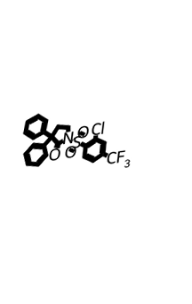 O=C1N(S(=O)(=O)c2ccc(C(F)(F)F)cc2Cl)CCC1(c1ccccc1)c1ccccc1